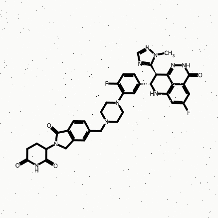 Cn1ncnc1[C@H]1c2n[nH]c(=O)c3cc(F)cc(c23)N[C@@H]1c1ccc(F)c(N2CCN(Cc3ccc4c(c3)CN(C3CCC(=O)NC3=O)C4=O)CC2)c1